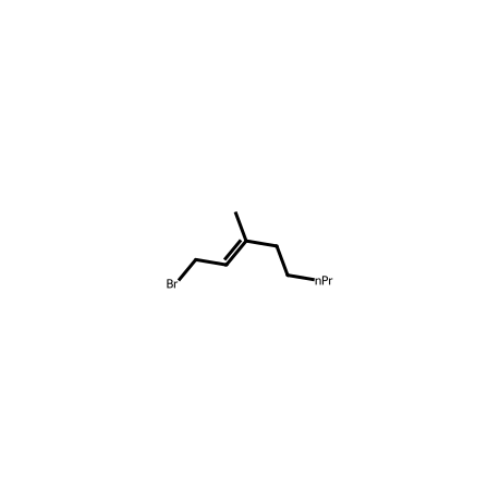 CCCCCC(C)=CCBr